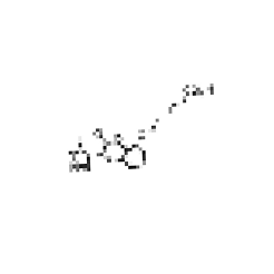 O=C(O)CCCCCOc1cccc2cc(-c3nnn[nH]3)c(=O)oc12